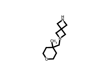 CC1(CN2CC3(CNC3)C2)CCOCC1